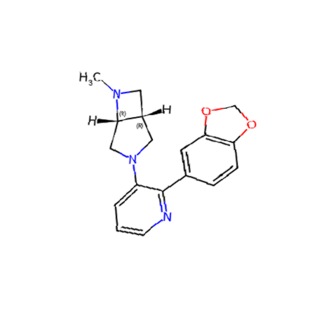 CN1C[C@@H]2CN(c3cccnc3-c3ccc4c(c3)OCO4)C[C@@H]21